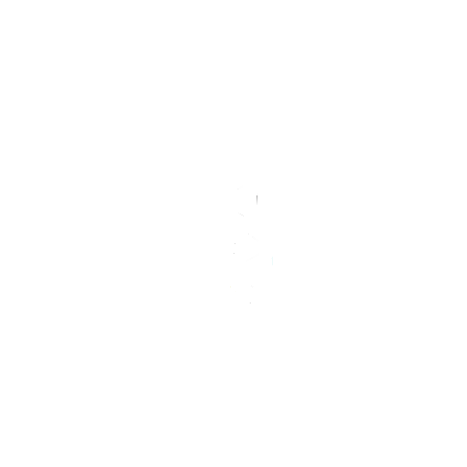 CCCc1ccc(-c2ccc(-c3ccc(CC4CCCC4)s3)c(F)c2)cc1